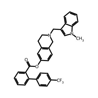 Cn1cc(CN2CCc3cc(OC(=O)c4ccccc4-c4ccc(C(F)(F)F)cc4)ccc3C2)c2ccccc21